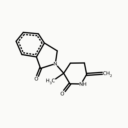 C=C1CCC(C)(N2Cc3ccccc3C2=O)C(=O)N1